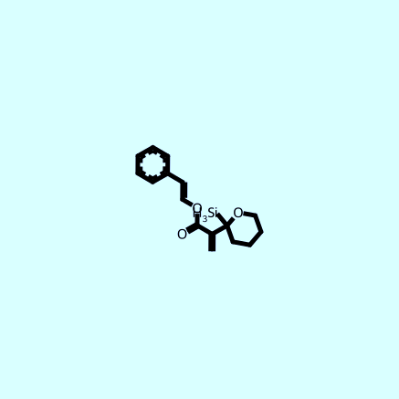 C=C(C(=O)OC=Cc1ccccc1)C1([SiH3])CCCCO1